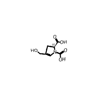 O=C(O)[C@@H]1CC(CO)=CN1C(=O)O